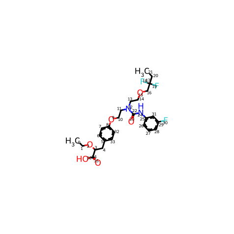 CCOC(Cc1ccc(OCCN(CCOCC(F)(F)CC)C(=O)Nc2cccc(F)c2)cc1)C(=O)O